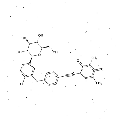 Cn1cc(C#Cc2ccc(Cc3cc([C@@H]4O[C@H](CO)[C@@H](O)[C@H](O)[C@H]4O)ccc3Cl)cc2)c(=O)n(C)c1=O